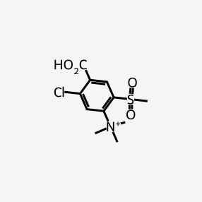 C[N+](C)(C)c1cc(Cl)c(C(=O)O)cc1S(C)(=O)=O